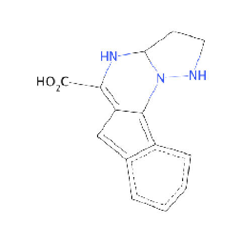 O=C(O)C1=C2C=c3ccccc3=C2N2NCCC2N1